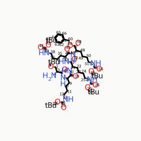 CC(C)(C)OCC(N)C(=O)NC(CCCCNC(=O)OC(C)(C)C)C(=O)NC(CCCCNC(=O)OC(C)(C)C)C(=O)NC(CCCCNC(=O)OC(C)(C)C)C(=O)NC(CCCCNC(=O)OC(C)(C)C)C(=O)OCc1ccccc1